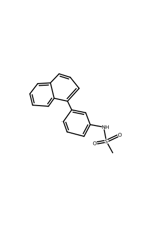 CS(=O)(=O)Nc1cc[c]c(-c2cccc3ccccc23)c1